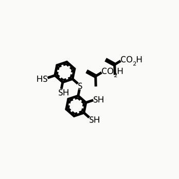 C=C(C)C(=O)O.C=C(C)C(=O)O.Sc1cccc(Sc2cccc(S)c2S)c1S